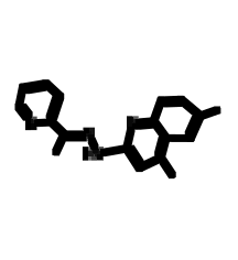 C/C(=N\Nc1cc(C)c2cc(C)ccc2n1)c1ccccn1